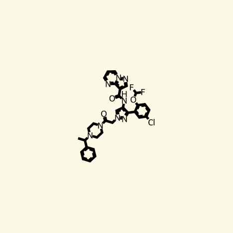 CC(c1ccccc1)N1CCN(C(=O)Cn2cc(NC(=O)c3cnn4cccnc34)c(-c3cc(Cl)ccc3OC(F)F)n2)CC1